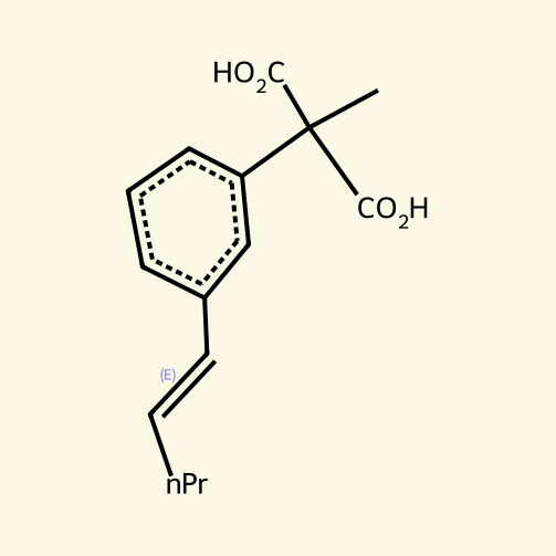 CCC/C=C/c1cccc(C(C)(C(=O)O)C(=O)O)c1